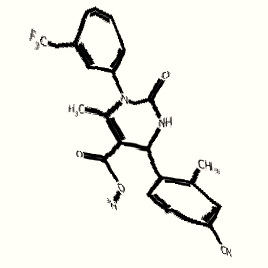 [3H]OC(=O)C1=C(C)N(c2cccc(C(F)(F)F)c2)C(=O)NC1c1ccc(C#N)cc1C